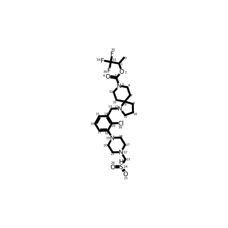 CC(OC(=O)N1CCC2(CCCN2Cc2cccc(N3CCN(C[SH](=O)=O)CC3)c2Cl)CC1)C(F)(F)F